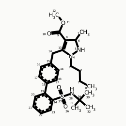 CCCCN1NC(C)C(C(=O)OC)=C1Cc1ccc(-c2ccccc2S(=O)(=O)NC(C)(C)C)cc1